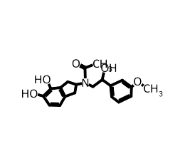 COc1cccc(C(O)CN(C(C)=O)C2Cc3ccc(O)c(O)c3C2)c1